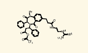 CC(C)N1C(=O)C(c2ccccc2)N(C(CC(=O)OC(=O)C(F)(F)F)c2ccccc2)C(=O)c2cc(CCC(=O)NCCNC(=N)N)ccc21